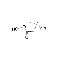 CCCC(C)(C)CC(=O)OO